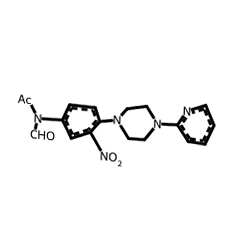 CC(=O)N(C=O)c1ccc(N2CCN(c3ccccn3)CC2)c([N+](=O)[O-])c1